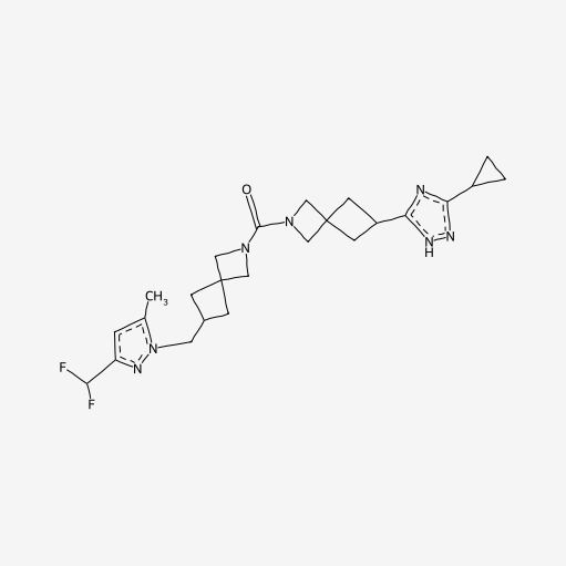 Cc1cc(C(F)F)nn1CC1CC2(C1)CN(C(=O)N1CC3(CC(c4nc(C5CC5)n[nH]4)C3)C1)C2